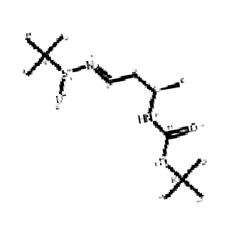 C[C@H](C/C=N/[S+]([O-])C(C)(C)C)NC(=O)OC(C)(C)C